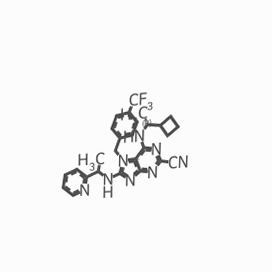 CC(Nc1nc2nc(C#N)nc(N[C@H](C)C3CCC3)c2n1Cc1ccc(C(F)(F)F)cc1)c1ccccn1